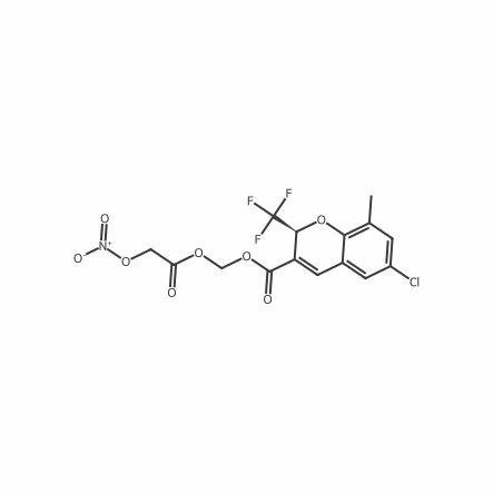 Cc1cc(Cl)cc2c1O[C@H](C(F)(F)F)C(C(=O)OCOC(=O)CO[N+](=O)[O-])=C2